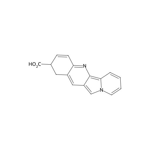 O=C(O)C1C=Cc2nc3c(cc2C1)cn1ccccc31